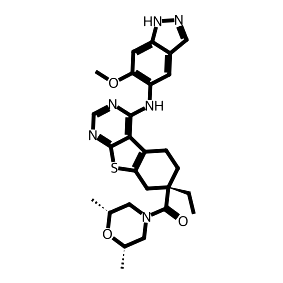 CC[C@]1(C(=O)N2C[C@@H](C)O[C@@H](C)C2)CCc2c(sc3ncnc(Nc4cc5cn[nH]c5cc4OC)c23)C1